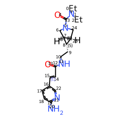 CCN(CC)C(=O)N1C[C@@H]2[C@@H](CCNC(=O)/C=C/c3ccc(N)nc3)[C@@H]2C1